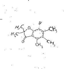 Cc1c(C)c(Br)c2c(c1C)C(=O)C(C)(C)O2